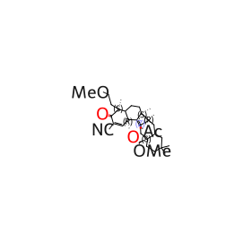 COCC[C@]1(C)C(=O)C(C#N)=C[C@]2(C)/C(=C/C(C)=O)[C@](C)([C@]3(C)CC[C@@]4(C(=O)OC)CCC(C)(C)CC4C3)CCC12